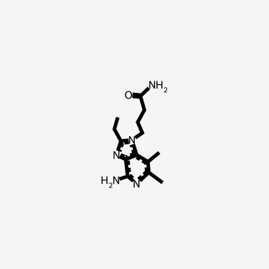 CCc1nc2c(N)nc(C)c(C)c2n1CCCC(N)=O